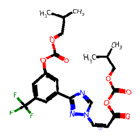 CC(C)COC(=O)OC(=O)/C=C\n1cnc(-c2cc(OC(=O)OCC(C)C)cc(C(F)(F)F)c2)n1